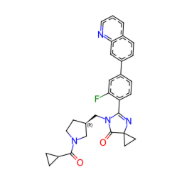 O=C(C1CC1)N1CC[C@@H](CN2C(=O)C3(CC3)N=C2c2ccc(-c3ccc4cccnc4c3)cc2F)C1